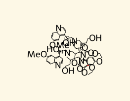 COc1ccc2nccc([C@H](O)CN3CC[C@]4(OC(=O)N(c5ccc6c(c5)OCCO6)C4C4CN(C[C@H](O)c5ccnc6ccc(OC)cc56)CC(CCO)C45CN(c4ccc6c(c4)OCCO6)C(=O)O5)[C@H](CCO)C3)c2c1